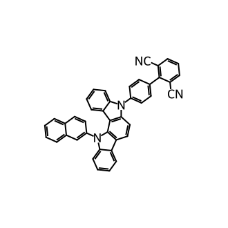 N#Cc1cccc(C#N)c1-c1ccc(-n2c3ccccc3c3c2ccc2c4ccccc4n(-c4ccc5ccccc5c4)c23)cc1